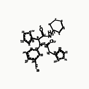 O=C(NC1CCCCC1)C(c1cccs1)N(C(=O)Cc1cccs1)c1cccc(F)c1